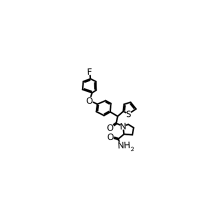 NC(=O)C1CCCN1C(=O)C(c1ccc(Oc2ccc(F)cc2)cc1)c1cccs1